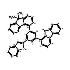 CC1(C)c2ccccc2-c2c(-c3cc(-c4cc5ccccc5o4)nc(-c4cccc5c4oc4ccccc45)n3)cccc21